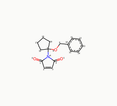 O=C1C=CC(=O)N1C1(OCc2ccccc2)CCCC1